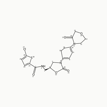 O=C(NC[C@H]1CN(C2=CC=C(N3CCOCC3=O)CC2)C(=O)O1)c1ccc(Cl)s1